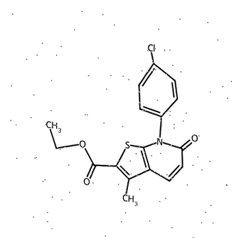 CCOC(=O)c1sc2c(ccc(=O)n2-c2ccc(Cl)cc2)c1C